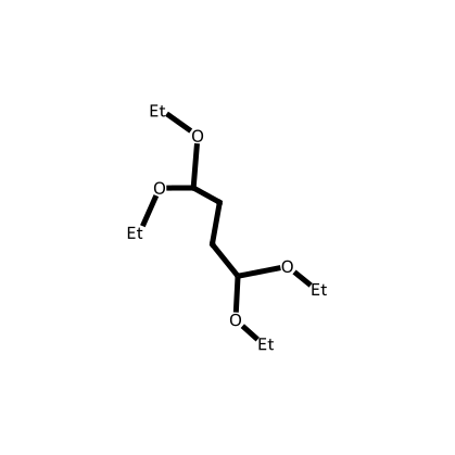 CCOC(CCC(OCC)OCC)OCC